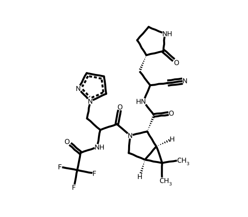 CC1(C)[C@@H]2[C@@H](C(=O)NC(C#N)C[C@@H]3CCNC3=O)N(C(=O)C(Cn3cccn3)NC(=O)C(F)(F)F)C[C@@H]21